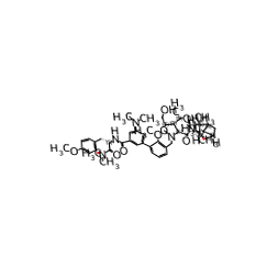 COc1ccc(C[C@H](NC(=O)c2cc(-c3cccc(CN4O[C@@H](CO)[C@@H]([C@H](C)O)[C@H]4C(=O)N[C@H]4C[C@H]5C[C@@H]([C@@H]4C)C5(C)C)c3OC)cc(N(C)C)c2)C(=O)N(C)C)cc1